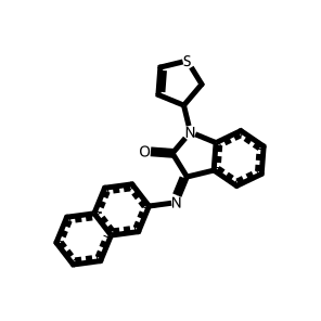 O=C1/C(=N\c2ccc3ccccc3c2)c2ccccc2N1C1C=CSC1